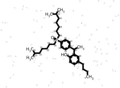 CCCCc1ccc(O)c(C(C)c2ccc(P(=O)(CCCCCC(C)C)CCCCCC(C)C)cc2)c1